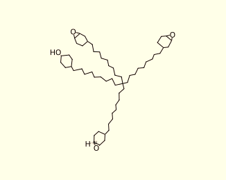 OC1CCC(CCCCCCCCCC(CCCCCCCCCC2CCC3OC3C2)(CCCCCCCCCC2CCC3OC3C2)CCCCCCCCCC2CC[C@@H]3OC3C2)CC1